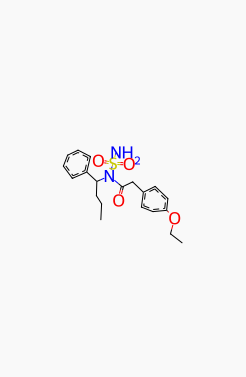 CCCC(c1ccccc1)N(C(=O)Cc1ccc(OCC)cc1)S(N)(=O)=O